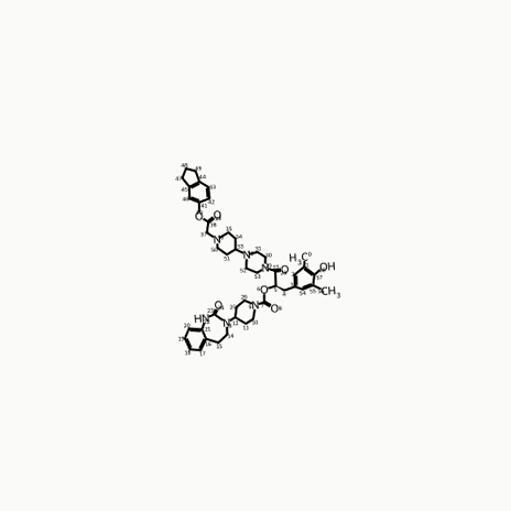 Cc1cc(C[C@@H](OC(=O)N2CCC(N3CCc4ccccc4NC3=O)CC2)C(=O)N2CCN(C3CCN(CC(=O)Oc4ccc5c(c4)CCC5)CC3)CC2)cc(C)c1O